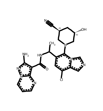 CC(NC(=O)c1c(N)nn2cccnc12)c1cc(Cl)c2cncn2c1N1C[C@@H](O)C[C@H](C#N)C1